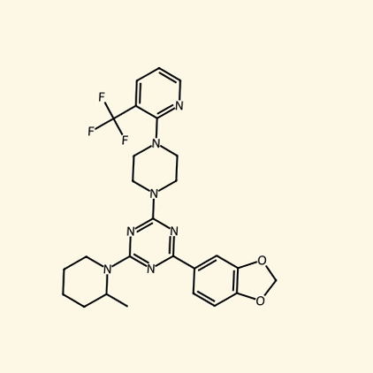 CC1CCCCN1c1nc(-c2ccc3c(c2)OCO3)nc(N2CCN(c3ncccc3C(F)(F)F)CC2)n1